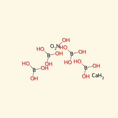 O=[N+]([O-])O.OB(O)O.OB(O)O.OB(O)O.OB(O)O.[CaH2]